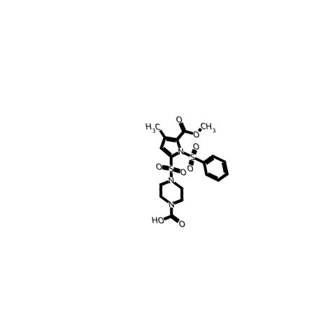 COC(=O)c1c(C)cc(S(=O)(=O)N2CCN(C(=O)O)CC2)n1S(=O)(=O)c1ccccc1